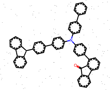 O=C1c2ccccc2-c2cccc(-c3ccc(N(c4ccc(-c5ccccc5)cc4)c4ccc(-c5ccc(C6c7ccccc7-c7ccccc76)cc5)cc4)cc3)c21